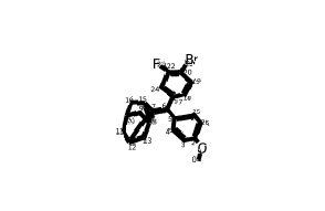 COc1ccc(C(=C2C3CC4CC(C3)CC2C4)c2ccc(Br)c(F)c2)cc1